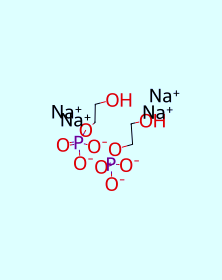 O=P([O-])([O-])OCCO.O=P([O-])([O-])OCCO.[Na+].[Na+].[Na+].[Na+]